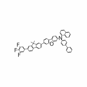 CC1(C)c2cc(-c3cc(F)c(F)c(F)c3)ccc2-c2ccc(-c3ccc4c(c3)oc3cc(N(c5ccc(-c6ccccc6)cc5)c5cccc6ccccc56)ccc34)cc21